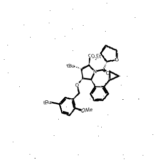 CCOC(=O)[C@@H]1[C@@H](C(C)(C)C)[C@H](OCc2cc(C(C)(C)C)ccc2OC)[C@H](c2ccccc2C2CC2)N1C(=O)[C@@H]1CCCO1